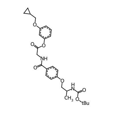 CC(COc1ccc(C(=O)NCC(=O)Oc2cccc(OCC3CC3)c2)cc1)NC(=O)OC(C)(C)C